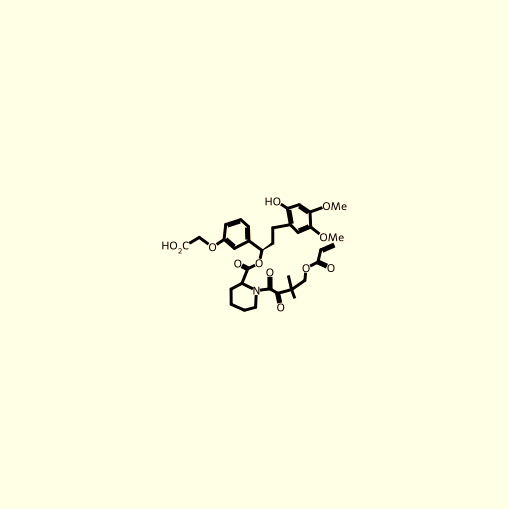 C=CC(=O)OCC(C)(C)C(=O)C(=O)N1CCCCC1C(=O)O[C@H](CCc1cc(OC)c(OC)cc1O)c1cccc(OCC(=O)O)c1